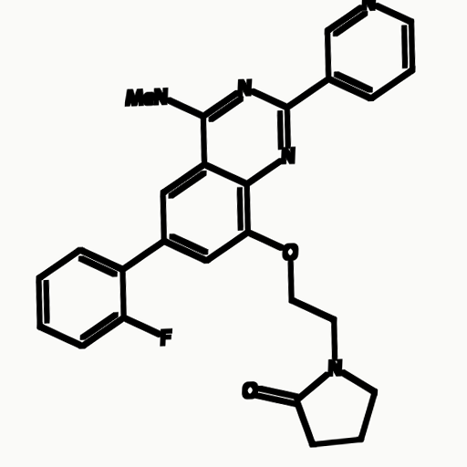 CNc1nc(-c2cccnc2)nc2c(OCCN3CCCC3=O)cc(-c3ccccc3F)cc12